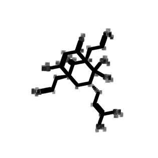 C=CC[C@@]12C[C@@H](CC=C(C)C)C(C)(C)[C@@](CC=C)(C(=O)C=C1O)C2=O